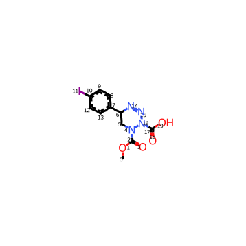 COC(=O)N1CC(c2ccc(I)cc2)N=NN1C(=O)O